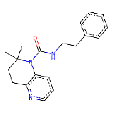 CC1(C)CCc2ncccc2N1C(=O)NCCc1ccccc1